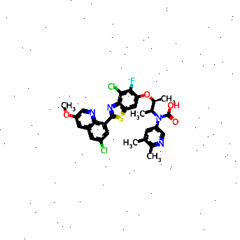 COc1cnc2c(-c3nc4c(Cl)c(F)c(O[C@@H](C)C(C)N(C(=O)O)c5cnc(C)c(C)c5)cc4s3)cc(Cl)cc2c1